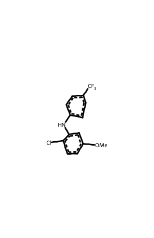 COc1ccc(Cl)c(Nc2ccc(C(F)(F)F)cc2)c1